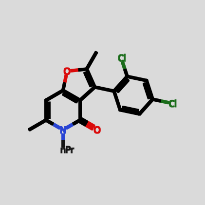 CCCn1c(C)cc2oc(C)c(-c3ccc(Cl)cc3Cl)c2c1=O